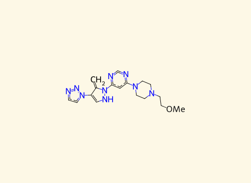 C=C1C(n2ccnn2)=CNN1c1cc(N2CCN(CCOC)CC2)ncn1